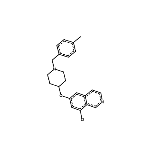 Cc1ccc(CN2CCC(Oc3cc(Cl)c4cnccc4c3)CC2)cc1